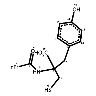 CCCC(=O)NC(CS)(Cc1ccc(O)cc1)C(=O)O